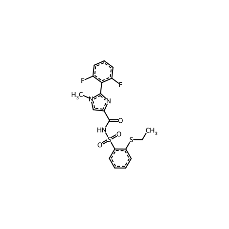 CCSc1ccccc1S(=O)(=O)NC(=O)c1cn(C)c(-c2c(F)cccc2F)n1